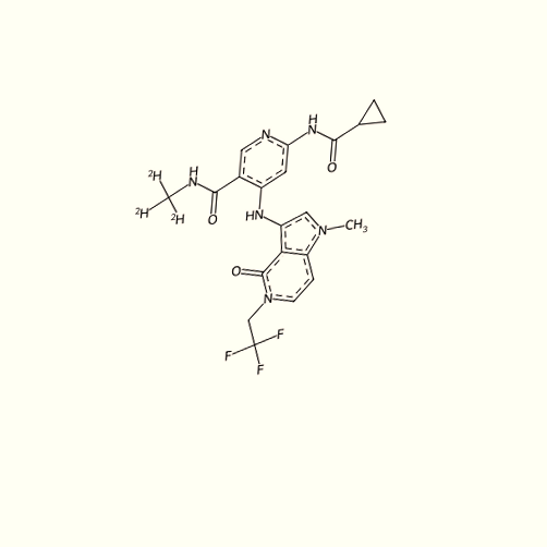 [2H]C([2H])([2H])NC(=O)c1cnc(NC(=O)C2CC2)cc1Nc1cn(C)c2ccn(CC(F)(F)F)c(=O)c12